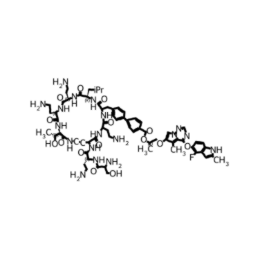 Cc1cc2c(F)c(Oc3ncnn4cc(OC[C@@H](C)OC(=O)c5ccc(-c6ccc(CC7NC(=O)C(CCN)NC(=O)C(NC(=O)[C@@H](CCN)NC(=O)C(N)CO)CCNC(=O)[C@@H]([C@@H](C)O)NC(=O)[C@@H](CCN)NC(=O)[C@@H](CCN)NC(=O)[C@@H](CC(C)C)NC7=O)cc6)cc5)c(C)c34)ccc2[nH]1